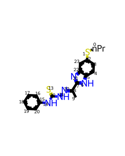 CCCSc1ccc2[nH]c(/C(C)=N/NC(=S)Nc3ccccc3)nc2c1